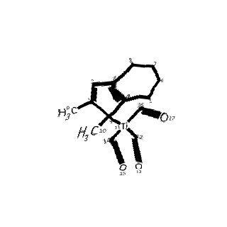 CC1=CC2=C(CCCC2)[C]1(C)[Ti]([CH]=O)([CH]=O)[CH]=O